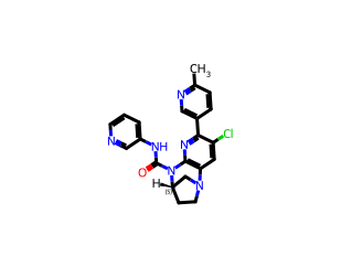 Cc1ccc(-c2nc3c(cc2Cl)N2CC[C@@H](C2)N3C(=O)Nc2cccnc2)cn1